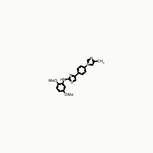 COc1ccc(OC)c(Nc2nc(-c3ccc(-n4cnc(C)c4)cc3)cs2)c1